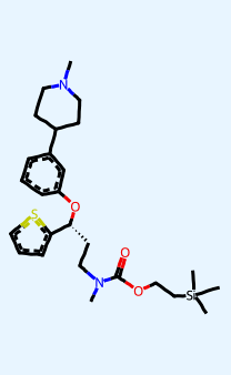 CN1CCC(c2cccc(O[C@H](CCN(C)C(=O)OCC[Si](C)(C)C)c3cccs3)c2)CC1